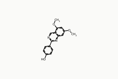 COc1cc(OC)c2cnc(-c3ccc(O)cc3)nc2c1